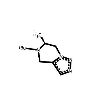 C[C@H]1Cn2nncc2CN1C(C)(C)C